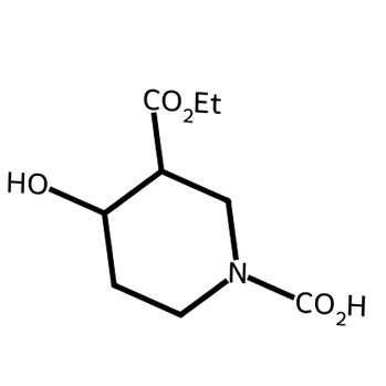 CCOC(=O)C1CN(C(=O)O)CCC1O